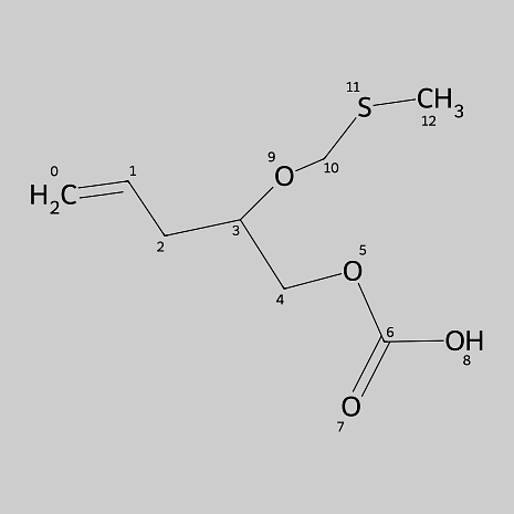 C=CCC(COC(=O)O)OCSC